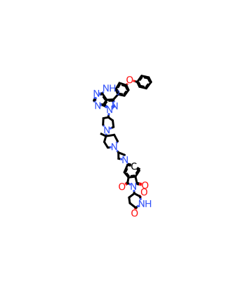 CC1(N2CCC(n3nc(-c4ccc(Oc5ccccc5)cc4)c4c(N)ncnc43)CC2)CCN(C2CN(c3ccc4c(c3)C(=O)N(C3CCC(=O)NC3=O)C4=O)C2)CC1